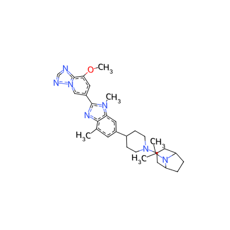 COc1cc(-c2nc3c(C)cc(C4CCN(C5CC6CCC(C5)N6C(C)C)CC4)cc3n2C)cn2ncnc12